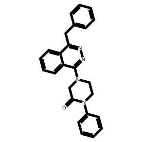 O=C1CN(c2nnc(Cc3ccccc3)c3ccccc23)CCN1c1ccccc1